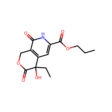 CCCOC(=O)c1cc2c(c(=O)[nH]1)COC(=O)C2(O)CC